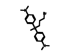 CN(C)c1ccc([Si](C)(CCCBr)c2ccc(N(C)C)cc2)cc1